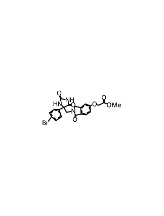 COC(=O)COc1ccc2c(c1)CN(CC1(c3ccc(Br)cc3)NC(=O)NC1=O)C2=O